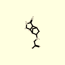 C=C(C)COC1CC2CC1C1COC(=O)C21